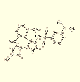 COc1cccc(OC)c1-n1c(NS(=O)(=O)c2cccc([C@@H](C)O)c2)nnc1-c1ccc(C)o1